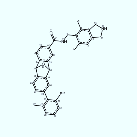 Cc1cc2c(c(C)c1CNC(=O)c1ccc3c(c1)C1OC3c3ccc(-c4c(C)cccc4F)cc31)CNC2